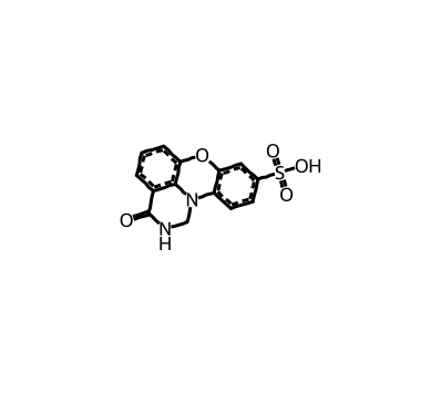 O=C1NCN2c3ccc(S(=O)(=O)O)cc3Oc3cccc1c32